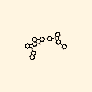 c1ccc(-c2ccc3c(c2)c2ccccc2n3-c2ccc(-c3ccc4c(c3)Sc3cc5c(c6cccc-4c36)c3ccccc3n5-c3ccc4ccccc4c3)cc2)cc1